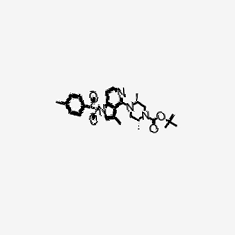 Cc1ccc(S(=O)(=O)n2cc(C)c3c(N4C[C@@H](C)N(C(=O)OC(C)(C)C)C[C@@H]4C)nccc32)cc1